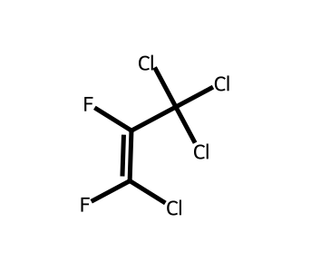 F/C(Cl)=C(\F)C(Cl)(Cl)Cl